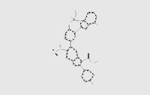 CNC(=O)c1c(-c2ccc(F)cc2)oc2cc(N(C)S(C)(=O)=O)c(-c3ccc4c(n3)-c3cc5c(F)cccc5n3C(C)(CO)O4)cc12